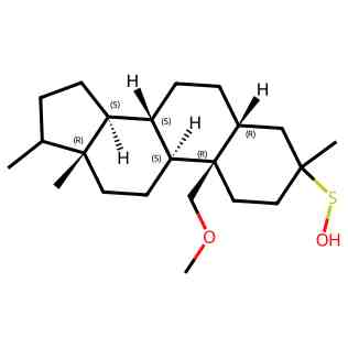 COC[C@]12CCC(C)(SO)C[C@H]1CC[C@@H]1[C@@H]2CC[C@]2(C)C(C)CC[C@@H]12